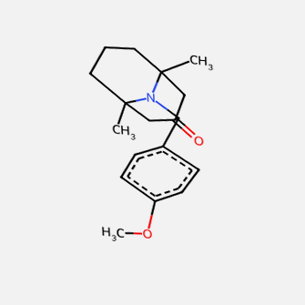 COc1ccc(CN2C3(C)CCCC2(C)CC(=O)C3)cc1